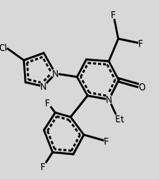 CCn1c(-c2c(F)cc(F)cc2F)c(-n2cc(Cl)cn2)cc(C(F)F)c1=O